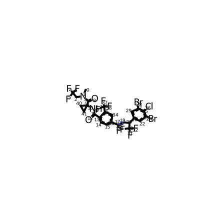 CN(CC(F)(F)F)C(=O)C1(NC(=O)c2ccc(/C(F)=C/C(c3cc(Br)c(Cl)c(Br)c3)C(F)(F)F)cc2C(F)(F)F)CC1